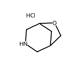 C1NCC2CC1CO2.Cl